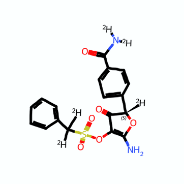 [2H]N([2H])C(=O)c1ccc([C@]2([2H])OC(N)=C(OS(=O)(=O)C([2H])([2H])c3ccccc3)C2=O)cc1